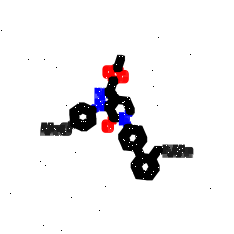 CNCc1ccccc1-c1ccc(N2CCc3c(C4OC(C)O4)nn(-c4ccc(OC)cc4)c3C2=O)cc1